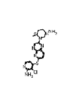 C[C@H]1CC[C@H](N)CN1c1cnc2nc(Sc3ccnc(N)c3Cl)ccc2n1